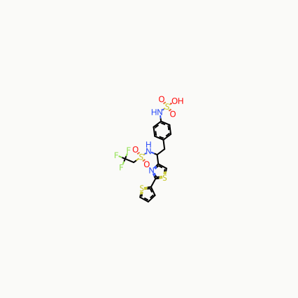 O=S(=O)(O)Nc1ccc(CC(NS(=O)(=O)CC(F)(F)F)c2csc(-c3cccs3)n2)cc1